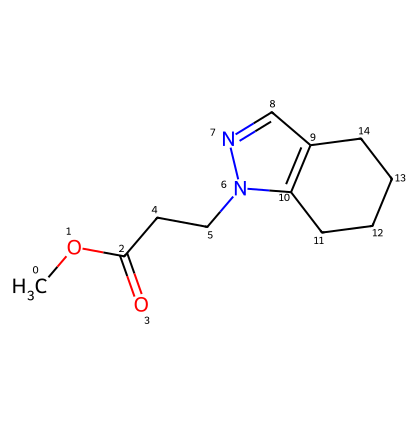 COC(=O)CCn1ncc2c1CCCC2